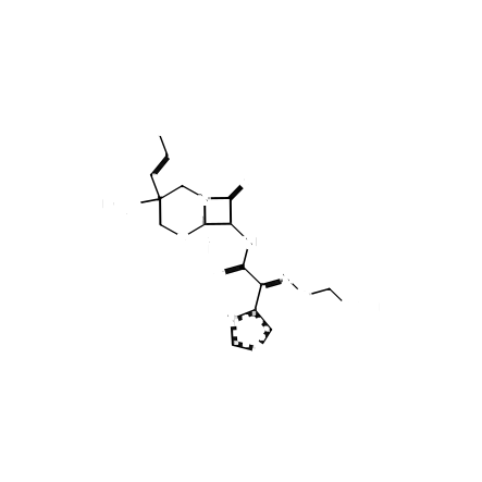 O=C(O)CON=C(C(=O)NC1C(=O)N2CC(C=CCl)(C(=O)O)CS[C@H]12)c1cscn1